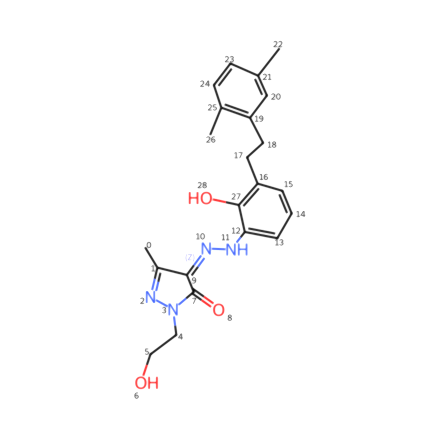 CC1=NN(CCO)C(=O)/C1=N\Nc1cccc(CCc2cc(C)ccc2C)c1O